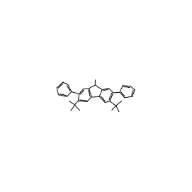 CC1c2cc(-c3ccccc3)c(C(C)(C)C)cc2-c2cc(C(C)(C)C)c(-c3ccccc3)cc21